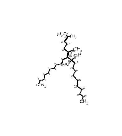 CCCCCCCCCCC(=C(C)CCC=C(C)C)C(O)(O)CCCCCCCCCC